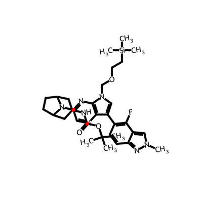 Cn1cc2c(F)c(-c3cn(COCC[Si](C)(C)C)c4nc(N5C6CCC5CC(NC(=O)OC(C)(C)C)C6)cnc34)ccc2n1